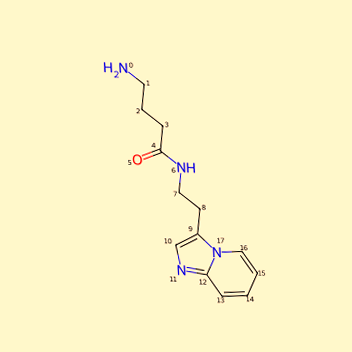 NCCCC(=O)NCCc1cnc2ccccn12